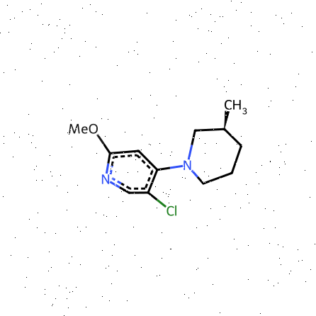 COc1cc(N2CCC[C@H](C)C2)c(Cl)cn1